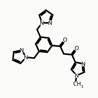 Cn1cnc(C(=O)CC(=O)c2cc(Cn3cccn3)cc(Cn3cccn3)c2)c1